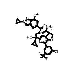 COc1cc(C(=O)NC[C@](O)(c2cc3c(c(-c4cc(Cl)cc(C(F)(F)F)c4)n2)OC[C@]3(C)C(N)=O)C2CC2)cc2cn(C3CC3)nc12